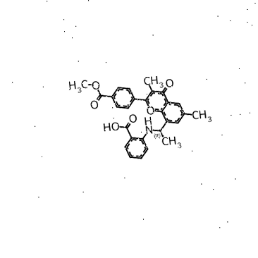 COC(=O)c1ccc(-c2oc3c([C@@H](C)Nc4ccccc4C(=O)O)cc(C)cc3c(=O)c2C)cc1